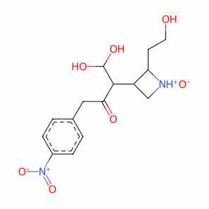 O=C(Cc1ccc([N+](=O)[O-])cc1)C(C(O)O)C1C[NH+]([O-])C1CCO